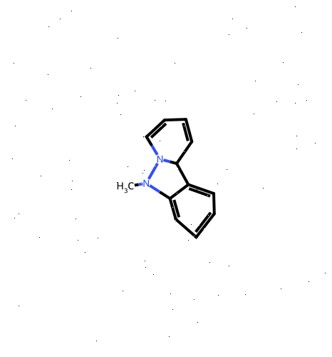 CN1c2ccccc2C2C=CC=[C]N21